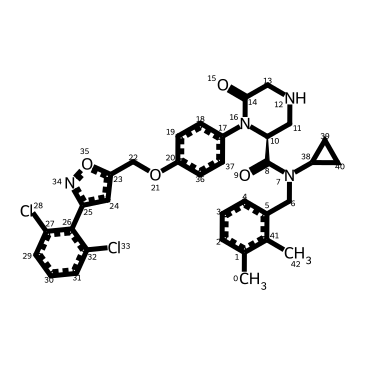 Cc1cccc(CN(C(=O)[C@@H]2CNCC(=O)N2c2ccc(OCc3cc(-c4c(Cl)cccc4Cl)no3)cc2)C2CC2)c1C